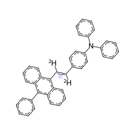 [2H]/C(=C(/[2H])c1c2ccccc2c(-c2ccccc2)c2ccccc12)c1ccc(N(c2ccccc2)c2ccccc2)cc1